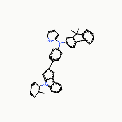 CC1C=CC=CC1n1c2ccccc2c2cc(-c3ccc(N(C4=CC=CCN4)c4ccc5c(c4)C(C)(C)c4ccccc4-5)cc3)ccc21